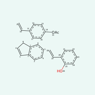 C1=Cc2ccccc2C1.C=Cc1ccc(OC(C)=O)cc1.C=Cc1ccccc1O